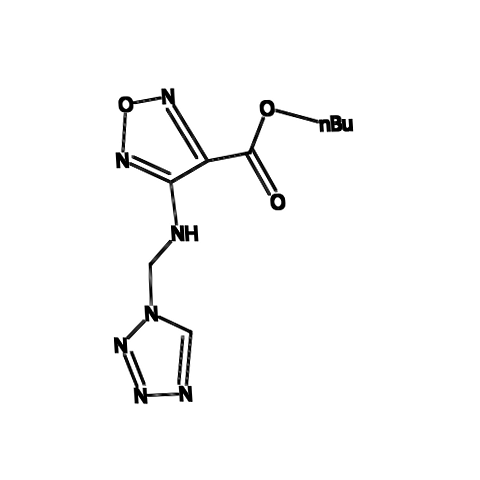 CCCCOC(=O)c1nonc1NCn1cnnn1